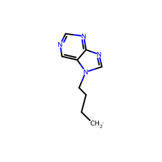 [CH2]CCCn1cnc2ncncc21